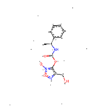 C[C@H](NC(=O)Oc1c(CO)no[n+]1[O-])c1ccccc1